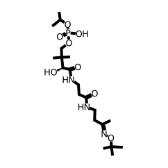 C/C(CCNC(=O)CCNC(=O)[C@@H](O)C(C)(C)COP(=O)(O)OC(C)C)=N\OC(C)(C)C